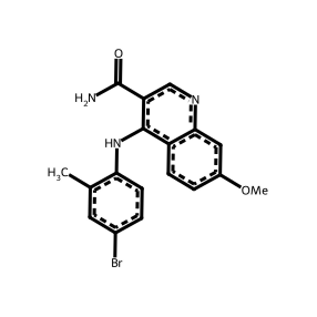 COc1ccc2c(Nc3ccc(Br)cc3C)c(C(N)=O)cnc2c1